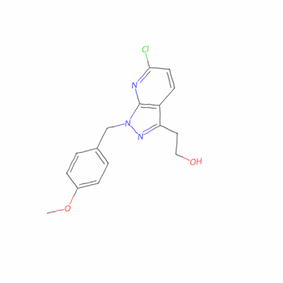 COc1ccc(Cn2nc(CCO)c3ccc(Cl)nc32)cc1